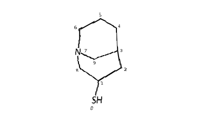 SC1CC2CCCN(C1)C2